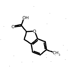 Cc1ccc2c(c1)OC(C(=O)O)C2